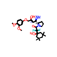 COc1ccc(OC/C(O)=C/C(=N)[C@@H]2CCCN2C(=O)C(F)(F)C2(O)CC(C)(C)CC(C)(C)C2)cc1OC